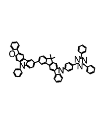 CC1(C)c2ccc(-c3ccc4c(c3)c3cc5c(cc3n4-c3ccccc3)oc3ccccc35)cc2-c2cc3c4ccccc4n(-c4ccc(-c5nc(-c6ccccc6)nc(-c6ccccc6)n5)cc4)c3cc21